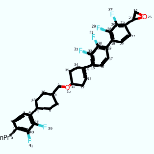 CCCc1ccc(C2CCC(COC3CC=C(c4ccc(-c5ccc(C6CO6)c(F)c5F)c(F)c4F)CC3)CC2)c(F)c1F